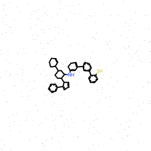 Sc1ccccc1-c1cccc(C2=CCCC(NC3CC(C4C=CCCC4)CCC3C3C=CC=C3c3ccccc3)=C2)c1